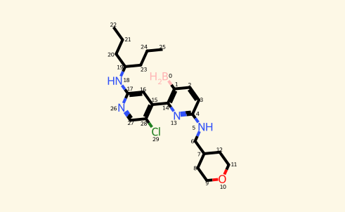 Bc1ccc(NCC2CCOCC2)nc1-c1cc(NC(CCC)CCC)ncc1Cl